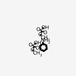 COS(=O)(=O)O.COS(=O)(=O)O.Nc1ccccc1